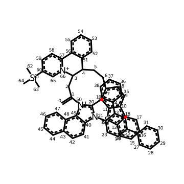 C=C1CC2C(CCc3ccc4c(sc5ccccc54)c3-c3n(-c4ccc(-c5ccccc5)cc4-c4ccccc4)c4ccc5ccccc5c4[n+]31)c1ccccc1-c1ccc([Si](C)(C)C)c[n+]12